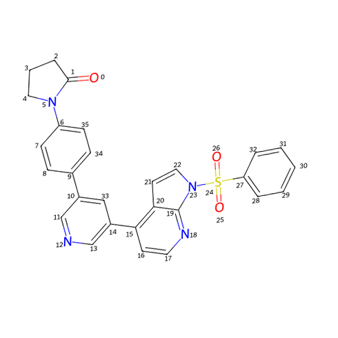 O=C1CCCN1c1ccc(-c2cncc(-c3ccnc4c3ccn4S(=O)(=O)c3ccccc3)c2)cc1